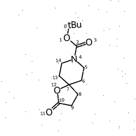 CC(C)(C)OC(=O)N1CCC2(CCC(=O)O2)CC1